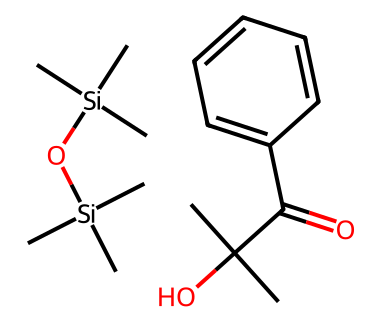 CC(C)(O)C(=O)c1ccccc1.C[Si](C)(C)O[Si](C)(C)C